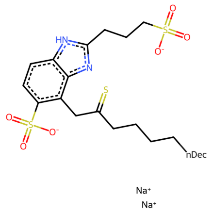 CCCCCCCCCCCCCCC(=S)Cc1c(S(=O)(=O)[O-])ccc2[nH]c(CCCS(=O)(=O)[O-])nc12.[Na+].[Na+]